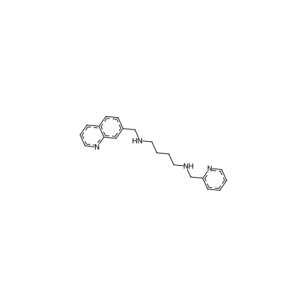 c1ccc(CNCCCCNCc2ccc3cccnc3c2)nc1